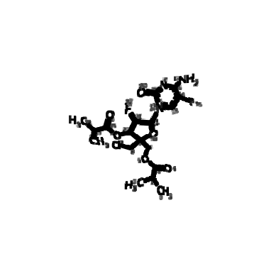 CC(C)C(=O)OCC1(CCl)OC(n2cc(F)c(N)nc2=O)C(F)C1OC(=O)C(C)C